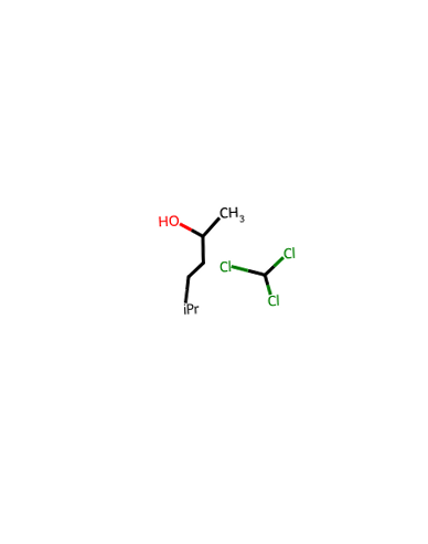 CC(C)CCC(C)O.ClC(Cl)Cl